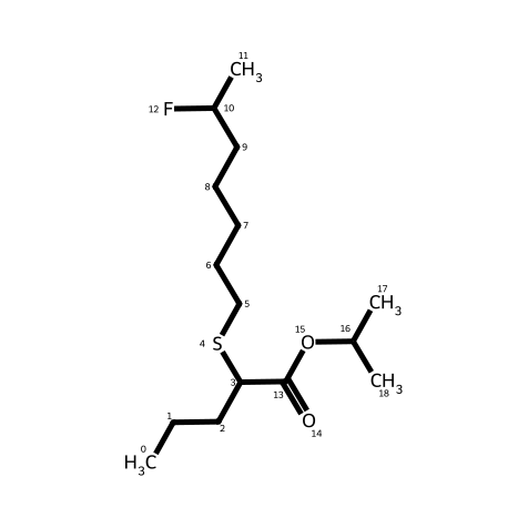 CCCC(SCCCCCC(C)F)C(=O)OC(C)C